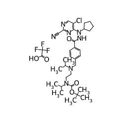 CC(C)N(CCN(C(=O)OC(C)(C)C)C(C)C)Cc1ccc(C(=O)NN(c2nc(C#N)ncc2Cl)C2CCCC2)cc1.O=C(O)C(F)(F)F